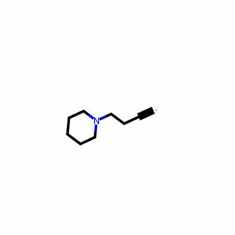 [C]#CCCN1CCCCC1